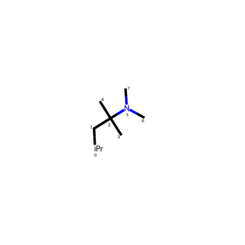 CC(C)CC(C)(C)N(C)C